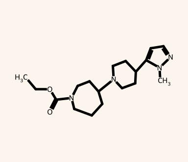 CCOC(=O)N1CCCC(N2CCC(c3ccnn3C)CC2)CC1